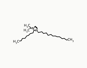 CCCCCCCCCCCCCCN1C=CN(C(C)C)C1CCCCCCCC